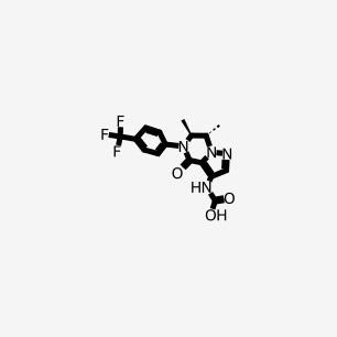 C[C@H]1[C@H](C)n2ncc(NC(=O)O)c2C(=O)N1c1ccc(C(F)(F)F)cc1